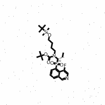 C[CH][C@@H](N(CCCCO[Si](C)(C)C(C)(C)C)C(=O)OC(C)(C)C)S(=O)(=O)c1cccc2cncc(F)c12